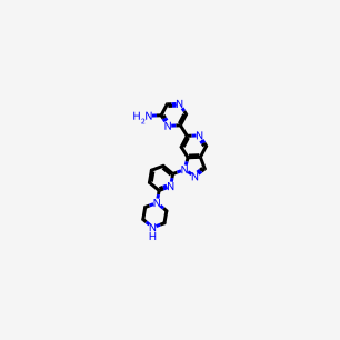 Nc1cncc(-c2cc3c(cn2)cnn3-c2cccc(N3CCNCC3)n2)n1